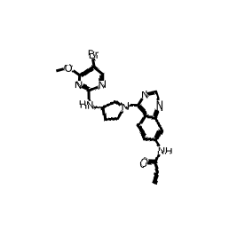 C=CC(=O)Nc1ccc2c(N3CC[C@@H](Nc4ncc(Br)c(OC)n4)C3)ncnc2c1